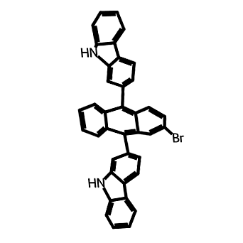 Brc1ccc2c(-c3ccc4c(c3)[nH]c3ccccc34)c3ccccc3c(-c3ccc4c(c3)[nH]c3ccccc34)c2c1